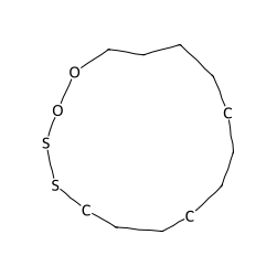 C1CCCCCOOSSCCCCC1